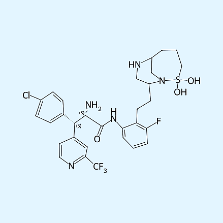 N[C@H](C(=O)Nc1cccc(F)c1CCC1CNC2CCCS(O)(O)N1C2)[C@@H](c1ccc(Cl)cc1)c1ccnc(C(F)(F)F)c1